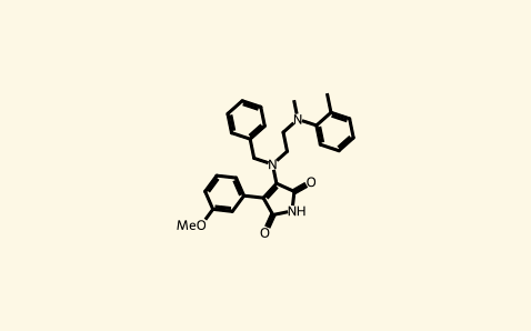 COc1cccc(C2=C(N(CCN(C)c3ccccc3C)Cc3ccccc3)C(=O)NC2=O)c1